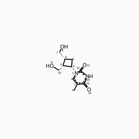 Cc1cn([C@H]2C[C@@H](CO)[C@H]2CO)c(=O)[nH]c1=O